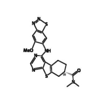 COc1cc2nnsc2cc1Nc1ncnc2sc3c(c12)CC[C@H](C(=O)N(C)C)C3